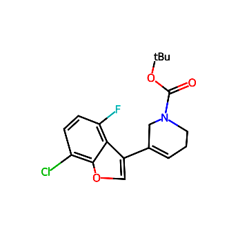 CC(C)(C)OC(=O)N1CCC=C(c2coc3c(Cl)ccc(F)c23)C1